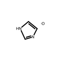 [O].c1c[nH]cn1